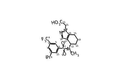 CC(C)c1cc(C(F)(F)F)cc(S(=O)(=O)N(C)[C@@H]2CCCc3c2cnn3CC(=O)O)c1